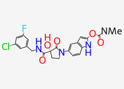 CNC(=O)Oc1cc2cc(N3CC[C@@](O)(C(=O)NCc4cc(F)cc(Cl)c4)C3=O)ccc2[nH]1